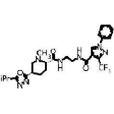 CC(C)c1nnc([C@H]2CC[C@@H](C(=O)NCCNC(=O)c3cn(-c4ccccc4)nc3C(F)(F)F)N(C)C2)o1